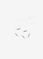 CCCC[N+](CCCC)(CCCC)CCCC.O=S(=O)([O-])c1ccc2ccccc2c1